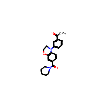 COC(=O)c1cccc(N2CCOc3cc(C(=O)N4CCCCC4)ccc32)c1